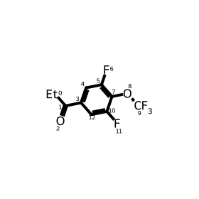 CCC(=O)c1cc(F)c(OC(F)(F)F)c(F)c1